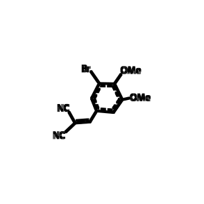 COc1cc(C=C(C#N)C#N)cc(Br)c1OC